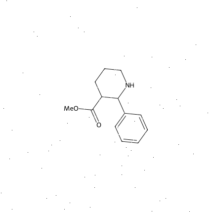 COC(=O)C1CCCNC1c1ccccc1